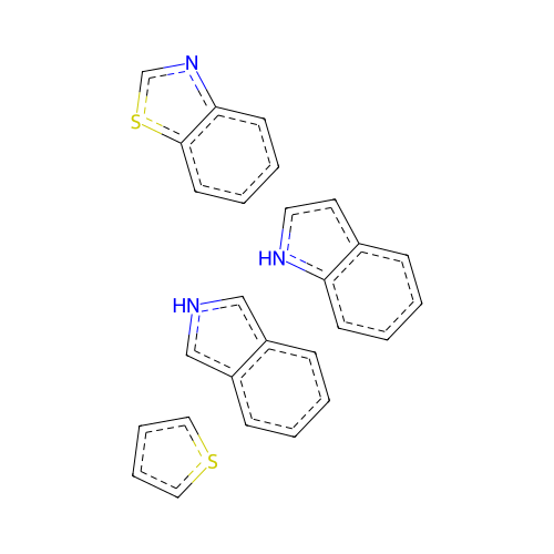 c1ccc2[nH]ccc2c1.c1ccc2c[nH]cc2c1.c1ccc2scnc2c1.c1ccsc1